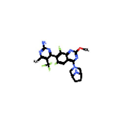 COc1nc(N2CC3CCC(C2)N3)c2cc(F)c(-c3nc(N)nc(C)c3C(F)(F)F)c(F)c2n1